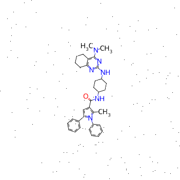 Cc1c(C(=O)NC2CCC(Nc3nc4c(c(N(C)C)n3)CCCC4)CC2)cc(-c2ccccc2)n1-c1ccccc1